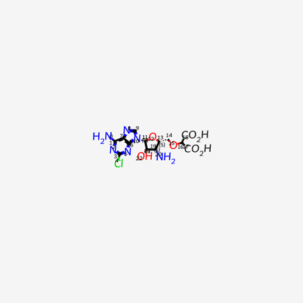 Nc1nc(Cl)nc2c1ncn2[C@@H]1O[C@H](COC(C(=O)O)C(=O)O)[C@@H](N)[C@H]1O